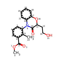 COC(=O)c1cccc(N2C(=O)C(CCO)Oc3ccccc32)c1C